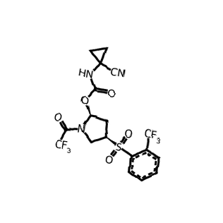 N#CC1(NC(=O)O[C@H]2C[C@@H](S(=O)(=O)c3ccccc3C(F)(F)F)CN2C(=O)C(F)(F)F)CC1